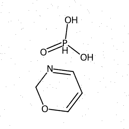 C1=COCN=C1.O=[PH](O)O